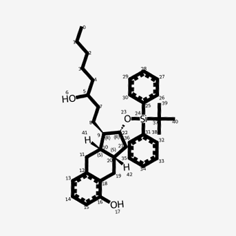 CCCCCC(O)CC[C@@H]1[C@H]2Cc3cccc(O)c3C[C@H]2C[C@H]1O[Si](c1ccccc1)(c1ccccc1)C(C)(C)C